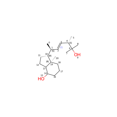 C[C@@H](/C=C/[C@H](C)C(C)(C)O)[C@H]1CCC2C(O)CCC[C@@]21C